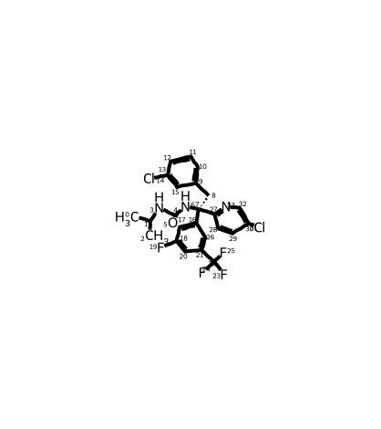 CC(C)NC(=O)N[C@](Cc1cccc(Cl)c1)(c1cc(F)cc(C(F)(F)F)c1)c1ccc(Cl)cn1